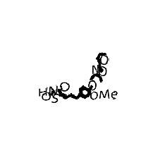 COc1cc(CC/C=C2/SC(=O)NC2=O)ccc1OCc1nc(-c2ccco2)oc1C